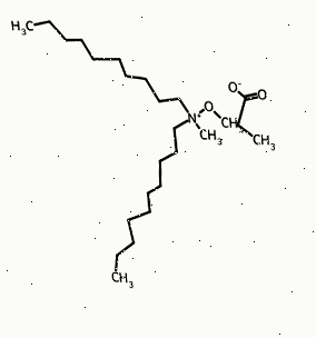 CCC(=O)[O-].CCCCCCCCCC[N+](C)(CCCCCCCCCC)OC